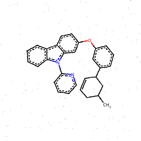 CC1CC=CC(c2cccc(Oc3ccc4c5ccccc5n(-c5ccccn5)c4c3)c2)C1